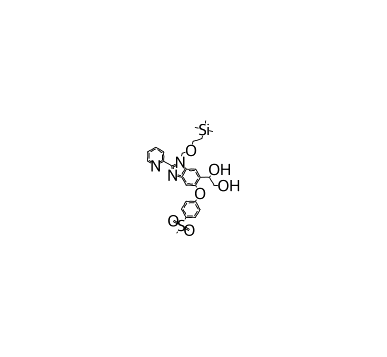 C[Si](C)(C)CCOCn1c(-c2ccccn2)nc2cc(Oc3ccc(S(C)(=O)=O)cc3)c(C(O)CO)cc21